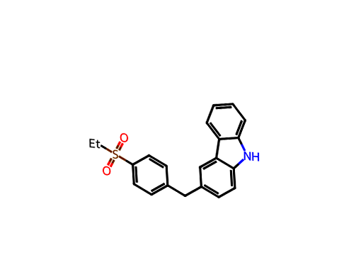 CCS(=O)(=O)c1ccc(Cc2ccc3[nH]c4ccccc4c3c2)cc1